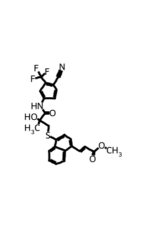 COC(=O)C=Cc1ccc(SCC(C)(O)C(=O)Nc2ccc(C#N)c(C(F)(F)F)c2)c2ccccc12